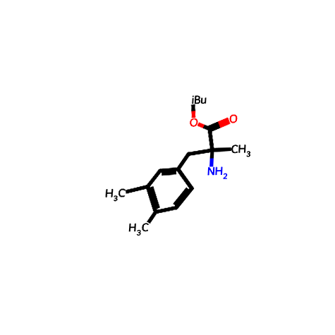 CCC(C)OC(=O)C(C)(N)Cc1ccc(C)c(C)c1